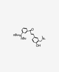 CCCCN(CCCC)c1cccc(C(=O)/C=C/c2ccc(O)c(CN(C)C)c2)c1